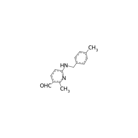 Cc1ccc(CNc2ccc(C=O)c(C)n2)cc1